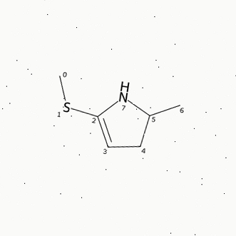 CSC1=CCC(C)N1